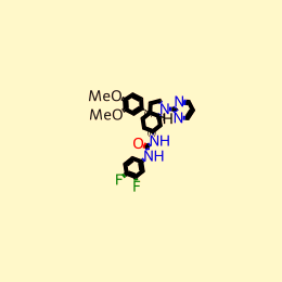 COc1ccc([C@@]23CC[C@@H](NC(=O)Nc4ccc(F)c(F)c4)C[C@@H]2N(c2ncccn2)CC3)cc1OC